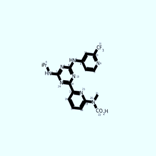 CC(C)Nc1nc(Nc2ccnc(C(F)(F)F)c2)nc(-c2cccc(N(C)C(=O)O)n2)n1